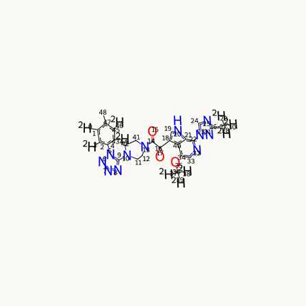 [2H]c1c([2H])c(-n2nnnc2N2CCN(C(=O)C(=O)c3c[nH]c4c(-n5cnc(C([2H])([2H])[2H])n5)ncc(OC([2H])([2H])[2H])c34)CC2)c([2H])c([2H])c1C